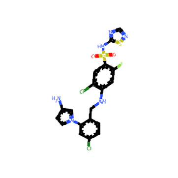 Nc1ccn(-c2cc(Cl)ccc2CNc2cc(F)c(S(=O)(=O)Nc3ncns3)cc2Cl)c1